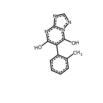 Cc1ccccc1-c1c(O)nc2ncnn2c1O